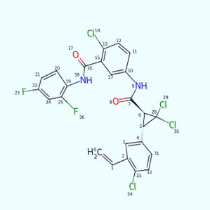 C=Cc1cc([C@@H]2[C@@H](C(=O)Nc3ccc(Cl)c(C(=O)Nc4ccc(F)cc4F)c3)C2(Cl)Cl)ccc1Cl